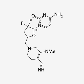 CNC1=C(C=N)CCN(CC2CC(F)(F)[C@H](n3ccc(N)nc3=O)O2)C1